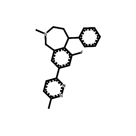 Cc1ccc(-c2cc(F)c3c(c2)CN(C)CCC3c2ccccc2)nn1